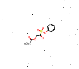 CCCCCCCCC(=O)OCC(=O)S(=O)(=O)Oc1ccccc1